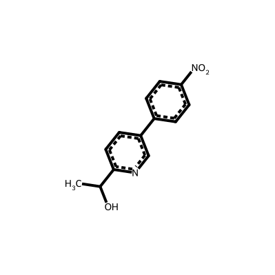 CC(O)c1ccc(-c2ccc([N+](=O)[O-])cc2)cn1